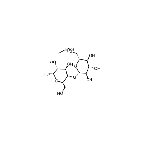 CCCCCC.OC[C@H]1O[C@@H](O[C@H]2[C@H](O)[C@@H](O)[C@H](O)O[C@@H]2CO)[C@H](O)[C@@H](O)[C@@H]1O